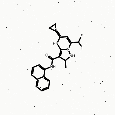 CC1NN2C(C(F)F)=CC(=C3CC3)NC2=C1C(=O)Nc1cccc2ccccc12